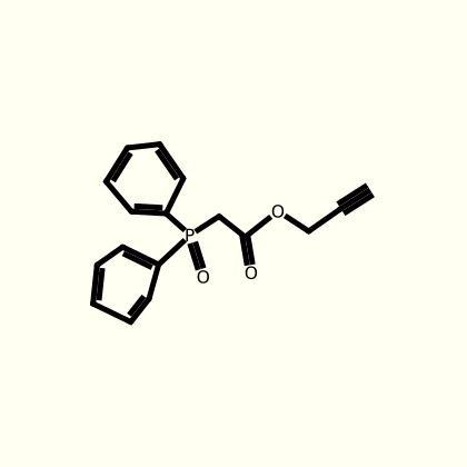 C#CCOC(=O)CP(=O)(c1ccccc1)c1ccccc1